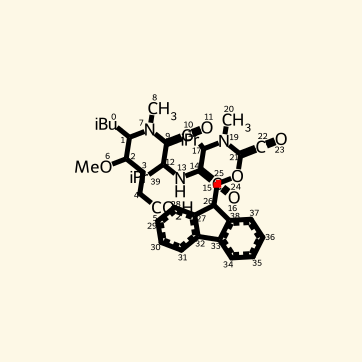 CCC(C)C(C(CCC(=O)O)OC)N(C)C(=C=O)C(NC(=C=O)C(C(C)C)N(C)C(=C=O)OCC1c2ccccc2-c2ccccc21)C(C)C